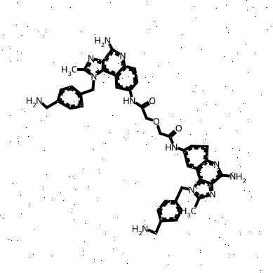 Cc1nc2c(N)nc3ccc(NC(=O)COCC(=O)Nc4ccc5nc(N)c6nc(C)n(Cc7ccc(CN)cc7)c6c5c4)cc3c2n1Cc1ccc(CN)cc1